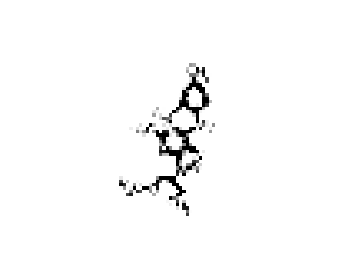 CCC(COC)n1nnc2c(Nc3ccc(C)cc3C)nc(C)nc21